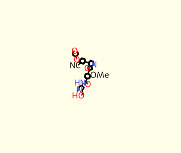 COc1cc(C(=O)N[C@H]2C[C@@H](CO)N(C)C2)ccc1-c1cc2nccc(-c3ccc(OC4CCOCC4)c(C#N)c3)c2o1